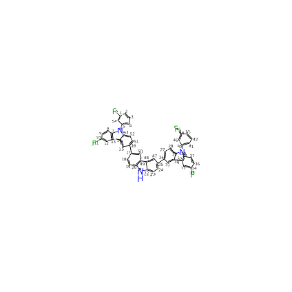 Fc1cccc(-n2c3ccc(F)cc3c3cc(-c4ccc5[nH]c6ccc(-c7ccc8c(c7)c7cc(F)ccc7n8-c7cccc(F)c7)cc6c5c4)ccc32)c1